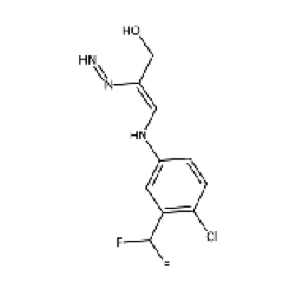 N=N/C(=C\Nc1ccc(Cl)c(C(F)F)c1)CO